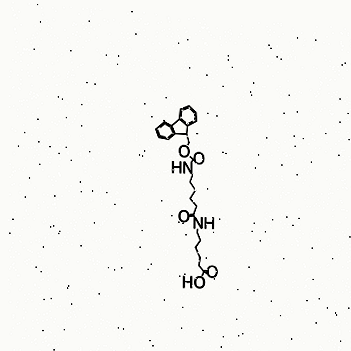 O=C(O)CCCCCNC(=O)CCCCCNC(=O)OCC1c2ccccc2-c2ccccc21